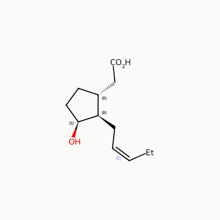 CC/C=C\C[C@@H]1[C@@H](CC(=O)O)CC[C@@H]1O